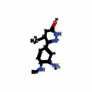 CCNc1ccc(C2=NNC(=O)CC2C)cc1N